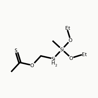 CCO[Si](C)(OCC)[SiH2]COC(C)=S